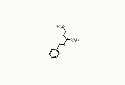 CCOC(=O)C(CCC(=O)O)CCc1ccccc1